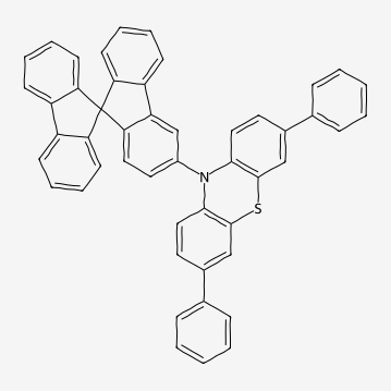 c1ccc(-c2ccc3c(c2)Sc2cc(-c4ccccc4)ccc2N3c2ccc3c(c2)-c2ccccc2C32c3ccccc3-c3ccccc32)cc1